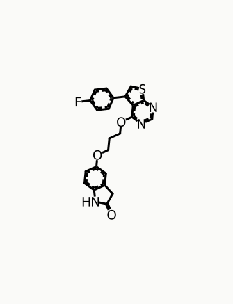 O=C1Cc2cc(OCCCOc3ncnc4scc(-c5ccc(F)cc5)c34)ccc2N1